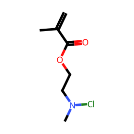 C=C(C)C(=O)OCCN(C)Cl